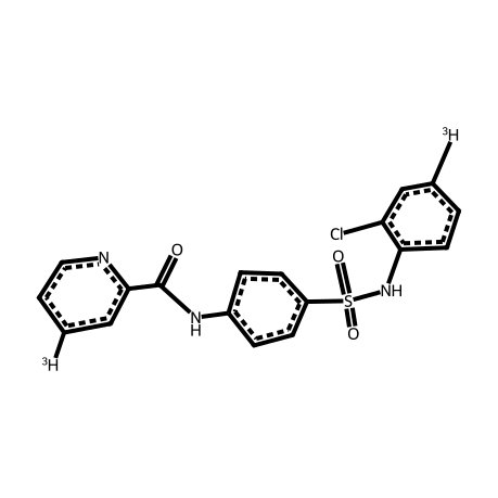 [3H]c1ccnc(C(=O)Nc2ccc(S(=O)(=O)Nc3ccc([3H])cc3Cl)cc2)c1